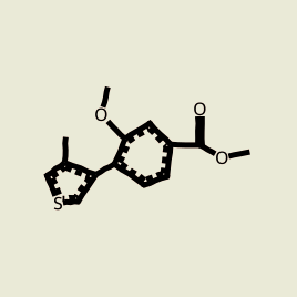 COC(=O)c1ccc(-c2cscc2C)c(OC)c1